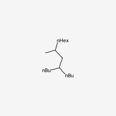 CCCCCCC(C)CC(CCCC)CCCC